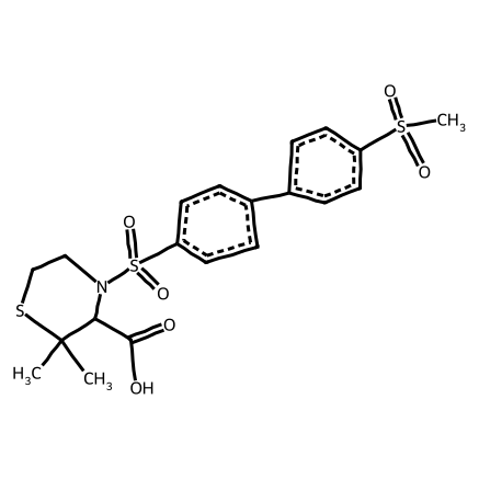 CC1(C)SCCN(S(=O)(=O)c2ccc(-c3ccc(S(C)(=O)=O)cc3)cc2)C1C(=O)O